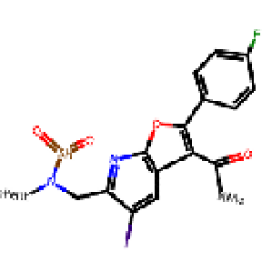 CCCCCN(Cc1nc2oc(-c3ccc(F)cc3)c(C(=O)NC)c2cc1I)[SH](=O)=O